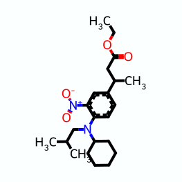 CCOC(=O)CC(C)c1ccc(N(CC(C)C)C2CCCCC2)c([N+](=O)[O-])c1